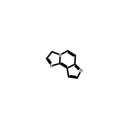 C1=Nc2c3ccnc-3ccn2C1